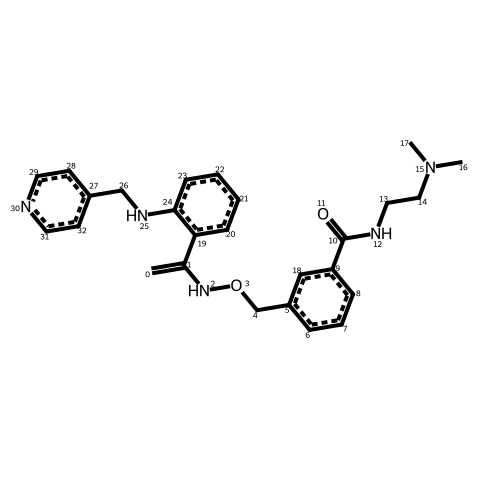 C=C(NOCc1cccc(C(=O)NCCN(C)C)c1)c1ccccc1NCc1ccncc1